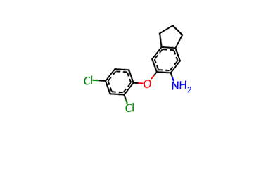 Nc1cc2c(cc1Oc1ccc(Cl)cc1Cl)CCC2